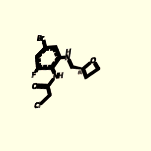 O=C(CCl)Nc1c(F)cc(Br)cc1NC[C@@H]1CCO1